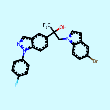 OC(Cn1ccc2cc(Br)ccc21)(c1ccc2c(cnn2-c2ccc(F)cc2)c1)C(F)(F)F